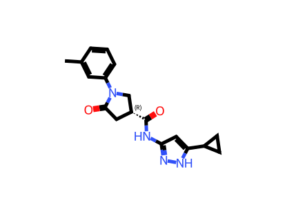 Cc1cccc(N2C[C@H](C(=O)Nc3cc(C4CC4)[nH]n3)CC2=O)c1